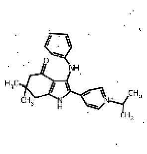 CC(C)[n+]1ccc(-c2[nH]c3c(c2Nc2ccccc2)C(=O)CC(C)(C)C3)cc1